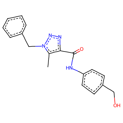 Cc1c(C(=O)Nc2ccc(CO)cc2)nnn1Cc1ccccc1